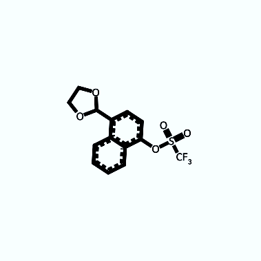 O=S(=O)(Oc1ccc(C2OCCO2)c2ccccc12)C(F)(F)F